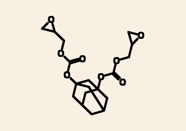 O=C(OCC1CO1)OC12CC3CC(C1)CC(OC(=O)OCC1CO1)(C3)C2